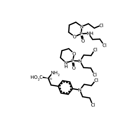 N[C@@H](Cc1ccc(N(CCCl)CCCl)cc1)C(=O)O.O=P1(N(CCCl)CCCl)NCCCO1.O=P1(NCCCl)OCCCN1CCCl